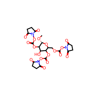 CO[C@@H]1OC(COC(=O)ON2C(=O)CCC2=O)C(OC(=O)ON2C(=O)CCC2=O)C(O)C1OC(=O)ON1C(=O)CCC1=O